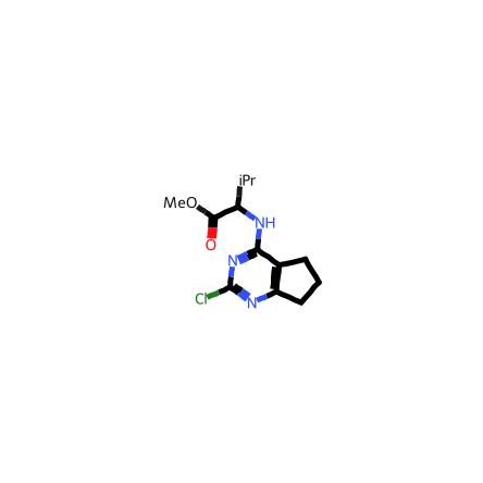 COC(=O)C(Nc1nc(Cl)nc2c1CCC2)C(C)C